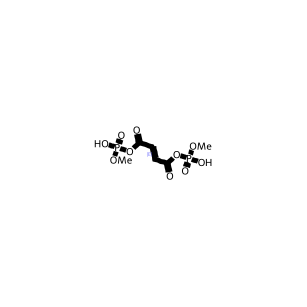 COP(=O)(O)OC(=O)/C=C/C(=O)OP(=O)(O)OC